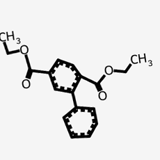 CCOC(=O)c1ccc(C(=O)OCC)c(-c2ccccc2)c1